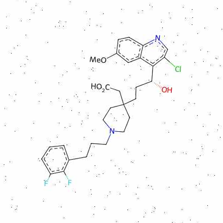 COc1ccc2ncc(Cl)c([C@H](O)CCC3(CC(=O)O)CCN(CCCc4cccc(F)c4F)CC3)c2c1